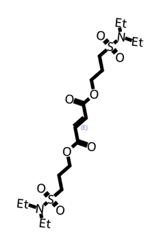 CCN(CC)S(=O)(=O)CCCOC(=O)/C=C/C(=O)OCCCS(=O)(=O)N(CC)CC